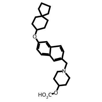 O=C(O)OC1CCN(Cc2ccc3cc(OC4CCC5(CCCC5)CC4)ccc3c2)CC1